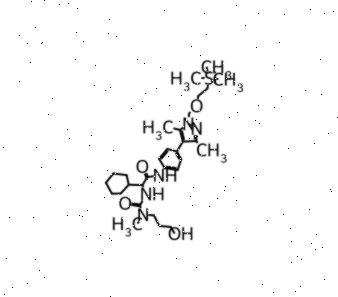 Cc1nn(COCC[Si](C)(C)C)c(C)c1-c1ccc(NC(=O)[C@@H](NC(=O)N(C)CCCO)C2CCCCC2)cc1